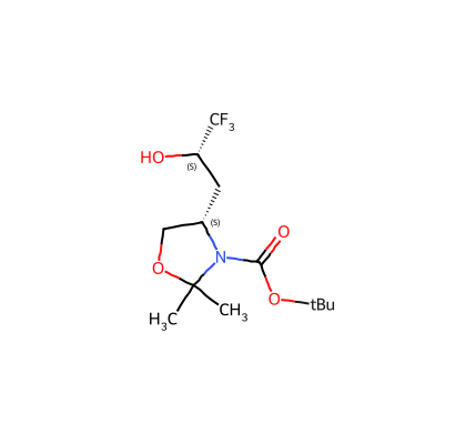 CC(C)(C)OC(=O)N1[C@@H](C[C@H](O)C(F)(F)F)COC1(C)C